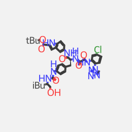 CCC(C)C(CO)NC(=O)Nc1ccc(C[C@H](NC(=O)C(=O)Nc2cc(Cl)ccc2-n2cnnn2)C(=O)Nc2ccc3[nH]c(C(=O)OC(C)(C)C)cc3c2)cc1